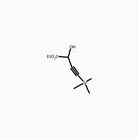 CCOC(=O)C(O)C#C[Si](C)(C)C